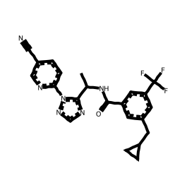 CC(NC(=O)c1cc(CC2CC2)cc(C(F)(F)F)c1)c1ncnn1-c1ccc(C#N)cn1